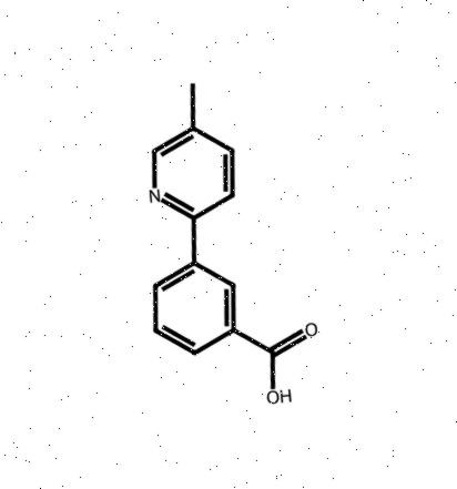 Cc1ccc(-c2cccc(C(=O)O)c2)nc1